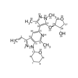 C=Cc1nn(C2CCCCO2)c2c(C)nc(-c3c(C)nn(C)c3O[C@H]3COC[C@@H]3O)cc12